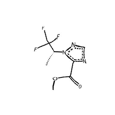 COC(=O)c1ncnn1[C@H](C)C(F)(F)F